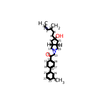 C=C(/C=C\C)CC[C@]1(O)C[C@H]2CN(CC(=O)c3ccc(-c4cccc(C)c4)cc3)C[C@H]2C1